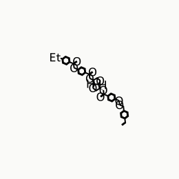 C=Cc1ccc(COOc2ccc(C(=O)O[C@@H]3CO[C@@H]4C(OC(=O)c5ccc(OC(=O)c6ccc(CC)cc6)cc5)CO[C@@H]43)cc2)cc1